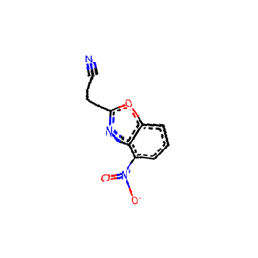 N#CCc1nc2c([N+](=O)[O-])cccc2o1